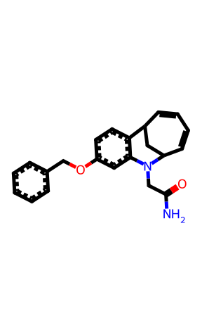 NC(=O)CN1c2cc(OCc3ccccc3)ccc2C2C=CC=CC1C2